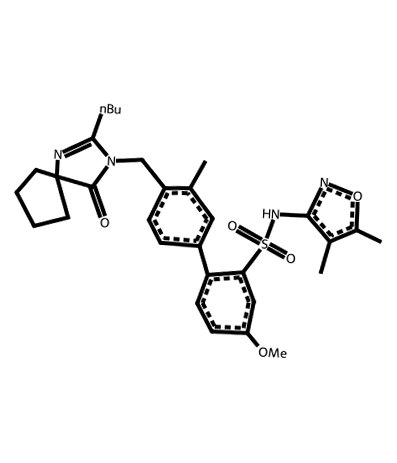 CCCCC1=NC2(CCCC2)C(=O)N1Cc1ccc(-c2ccc(OC)cc2S(=O)(=O)Nc2noc(C)c2C)cc1C